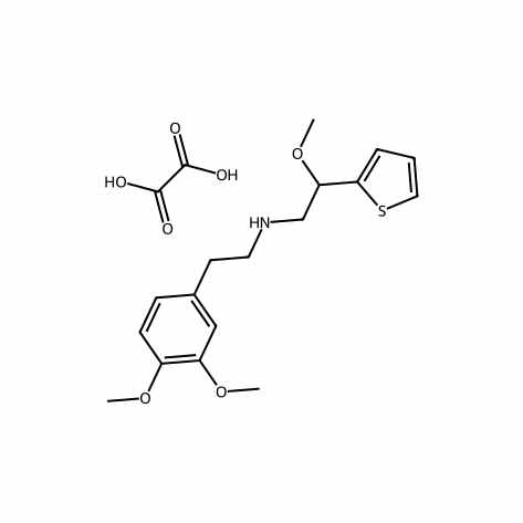 COc1ccc(CCNCC(OC)c2cccs2)cc1OC.O=C(O)C(=O)O